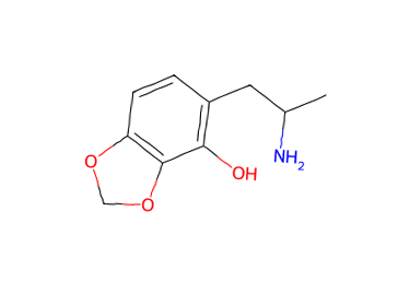 CC(N)Cc1ccc2c(c1O)OCO2